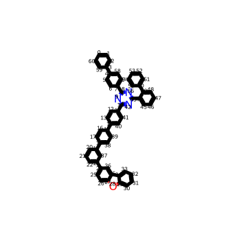 c1ccc(-c2ccc(-c3nc(-c4ccc(-c5ccc(-c6cccc(-c7ccc8oc9ccccc9c8c7)c6)cc5)cc4)nc(-c4ccccc4-c4ccccc4)n3)cc2)cc1